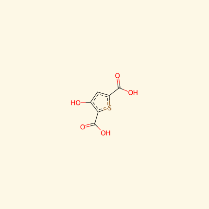 O=C(O)c1cc(O)c(C(=O)O)s1